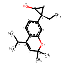 CC[C@]1(c2ccc3c(c2)OC(C)(C)C=C3C(C)C)CC1O